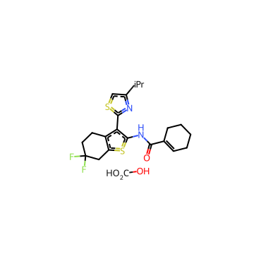 CC(C)c1csc(-c2c(NC(=O)C3=CCCCC3)sc3c2CCC(F)(F)C3)n1.O=C(O)O